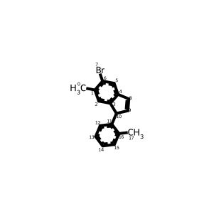 Cc1cc2c(cc1Br)C=CC2c1ccccc1C